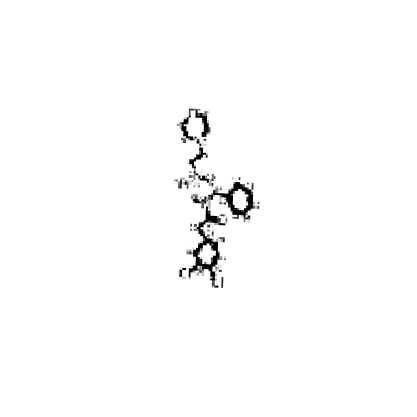 CCCN(CCN1CCOCC1)C[C@H](c1ccccc1)N(C)C(=O)Cc1ccc(Cl)c(Cl)c1